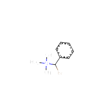 C[N+](C)(C)C(Br)c1ccccc1